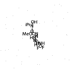 COc1cc2c(Nc3cc(CC(=O)Nc4cc(F)cc(F)c4)[nH]n3)ncnc2cc1OCCCN(CCO)CC(C)C